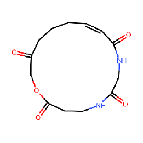 O=C1CCCC=CC(=O)NCC(=O)NCCC(=O)OC1